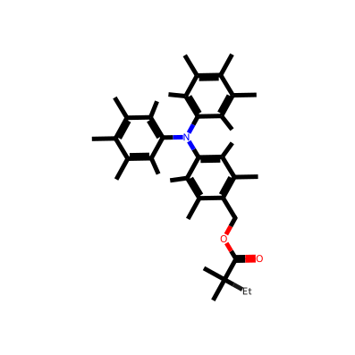 CCC(C)(C)C(=O)OCc1c(C)c(C)c(N(c2c(C)c(C)c(C)c(C)c2C)c2c(C)c(C)c(C)c(C)c2C)c(C)c1C